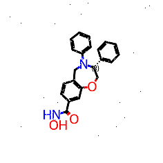 O=C(NO)c1ccc2c(c1)OC[C@@H](c1ccccc1)N(c1ccccc1)C2